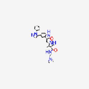 CCN(CC)CCNC(=O)c1c(C)[nH]c(/C=C2\C(=O)Nc3ccc(-c4ccnn4-c4ccccc4)cc32)c1C